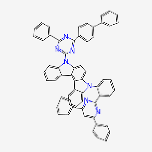 c1ccc(-c2ccc(-c3nc(-c4ccccc4)nc(-n4c5ccccc5c5c6c7ccccc7n(-c7ccccc7-c7nc(-c8ccccc8)cc(-c8ccccc8)n7)c6ccc54)n3)cc2)cc1